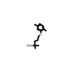 Cc1ccc(C)c(OCCCC(C)(C)[C]=O)c1